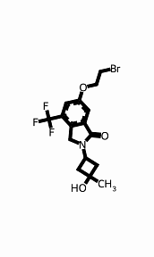 CC1(O)CC(N2Cc3c(cc(OCCBr)cc3C(F)(F)F)C2=O)C1